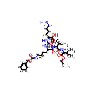 CCOC(=O)[C@@H](NC(=O)[C@@H](NC(=O)[C@@H](CCCCNC(=O)OCc1ccccc1)NC(=O)N[C@@H](CCCCN)C(=O)O)C(C)C)C(C)C